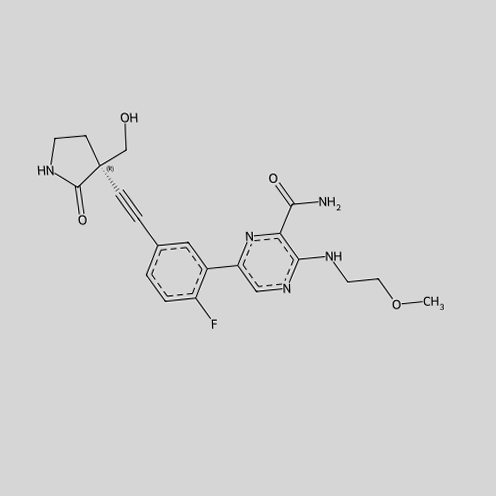 COCCNc1ncc(-c2cc(C#C[C@@]3(CO)CCNC3=O)ccc2F)nc1C(N)=O